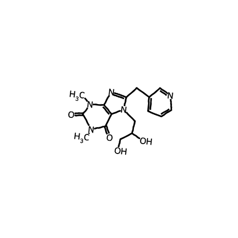 Cn1c(=O)c2c(nc(Cc3cccnc3)n2CC(O)CO)n(C)c1=O